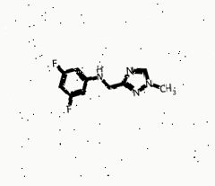 Cn1cnc(CNc2cc(F)cc(F)c2)n1